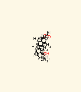 CCC(=O)O[C@H]1CC[C@@]2(C)C(CC[C@]3(C)C2CC[C@@H]2C4[C@@H](O)C(C)(C)CC[C@]4(C)CC[C@]23C)C1(C)C